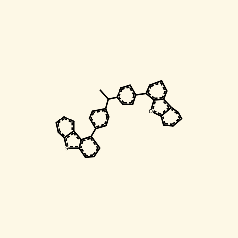 CC(c1ccc(-c2cccc3c2oc2ccccc23)cc1)c1ccc(-c2cccc3sc4ccccc4c23)cc1